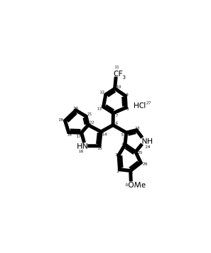 COc1ccc2c([C](c3ccc(C(F)(F)F)cc3)c3c[nH]c4ccccc34)c[nH]c2c1.Cl